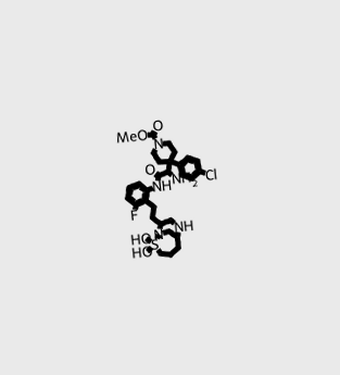 COC(=O)N1CCC(c2ccc(Cl)cc2)(C(N)C(=O)Nc2cccc(F)c2CCC2CNC3CCCS(O)(O)N2C3)CC1